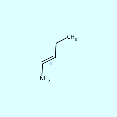 CC/C=C/N